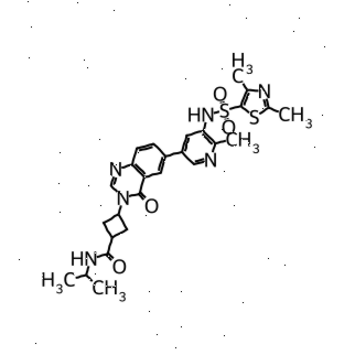 Cc1nc(C)c(S(=O)(=O)Nc2cc(-c3ccc4ncn(C5CC(C(=O)NC(C)C)C5)c(=O)c4c3)cnc2C)s1